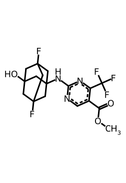 COC(=O)c1cnc(NC23CC4(O)CC(F)(CC(F)(C4)C2)C3)nc1C(F)(F)F